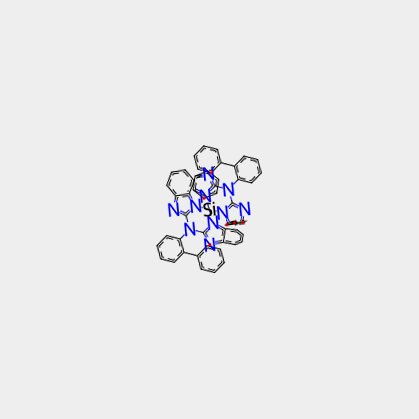 c1ccc(-c2ccccc2N2c3nc4ccccc4n3[Si]3(n4c2nc2ccccc24)n2c(nc4ccccc42)N(c2ccccc2-c2ccccc2)c2nc4ccccc4n23)cc1